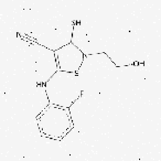 N#CC1=C(Nc2ccccc2F)SN(CCO)C1S